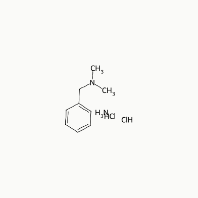 CN(C)Cc1ccccc1.Cl.Cl.N